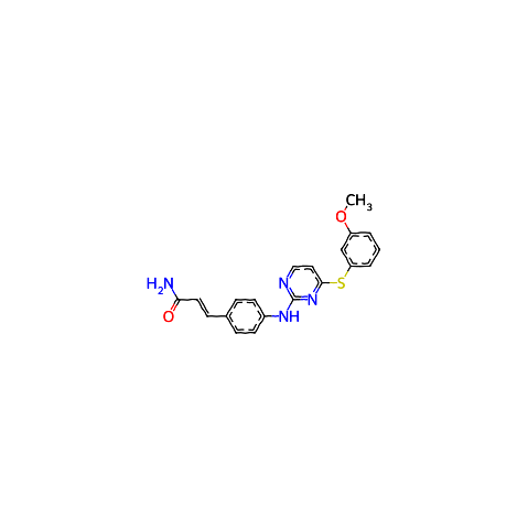 COc1cccc(Sc2ccnc(Nc3ccc(C=CC(N)=O)cc3)n2)c1